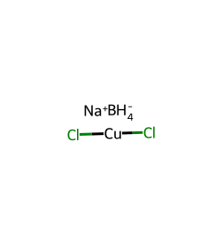 [BH4-].[Cl][Cu][Cl].[Na+]